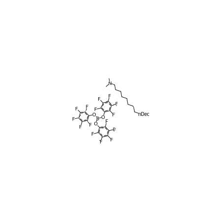 CCCCCCCCCCCCCCCCCCN(C)C.Fc1c(F)c(F)c(OB(Oc2c(F)c(F)c(F)c(F)c2F)Oc2c(F)c(F)c(F)c(F)c2F)c(F)c1F